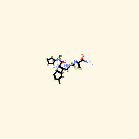 Cc1ccc2[nH]c(C(=O)N(C)C3CCCC3)c(CNc3nc(C(N)=O)cs3)c2c1